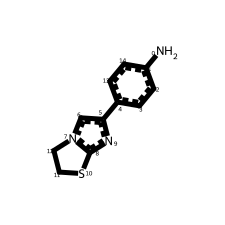 Nc1ccc(-c2cn3c(n2)SCC3)cc1